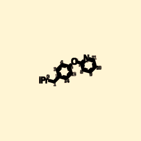 CC(C)Cc1ccc(Oc2ccccn2)cc1